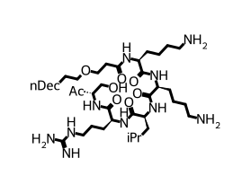 CCCCCCCCCCCCOCCC(=O)N[C@@H](CCCCN)C(=O)N[C@@H](CCCCN)C(=O)N[C@@H](CC(C)C)C(=O)N[C@@H](CCCNC(=N)N)C(=O)N[C@@H](CO)C(C)=O